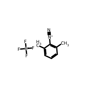 Cc1cccc(C)c1[N+]#N.F[B-](F)(F)F